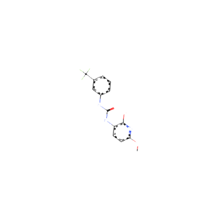 COc1ccc(NC(=O)Nc2cccc(C(F)(F)F)c2)c(O)n1